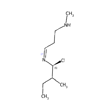 CCC(C)[C@H](Cl)/N=C\CCNC